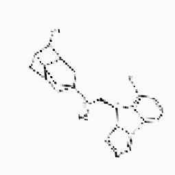 OC1C2CC3CC1CC([C@@H](O)C[C@H]1c4c(F)cccc4-c4cncn41)(C3)C2